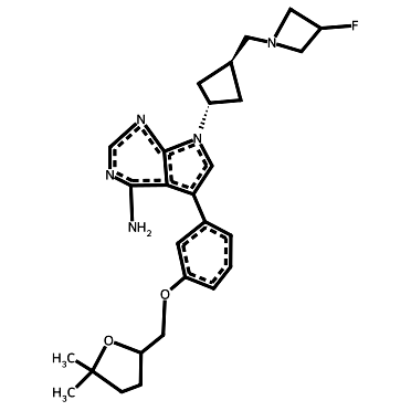 CC1(C)CCC(COc2cccc(-c3cn([C@H]4C[C@H](CN5CC(F)C5)C4)c4ncnc(N)c34)c2)O1